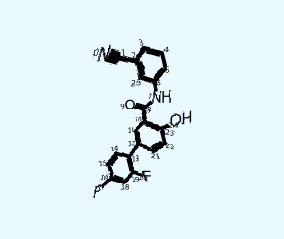 N#Cc1cccc(NC(=O)c2cc(-c3ccc(F)cc3F)ccc2O)c1